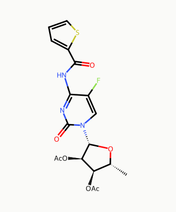 CC(=O)O[C@@H]1[C@H](OC(C)=O)[C@@H](C)O[C@H]1n1cc(F)c(NC(=O)c2cccs2)nc1=O